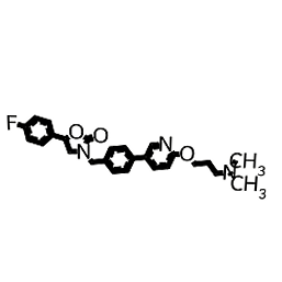 CN(C)CCCOc1ccc(-c2ccc(CN3CC(c4ccc(F)cc4)OC3=O)cc2)cn1